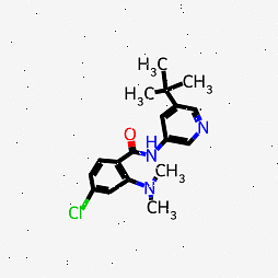 CN(C)c1cc(Cl)ccc1C(=O)Nc1cn[c]c(C(C)(C)C)c1